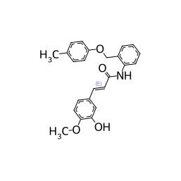 COc1ccc(/C=C/C(=O)Nc2ccccc2COc2ccc(C)cc2)cc1O